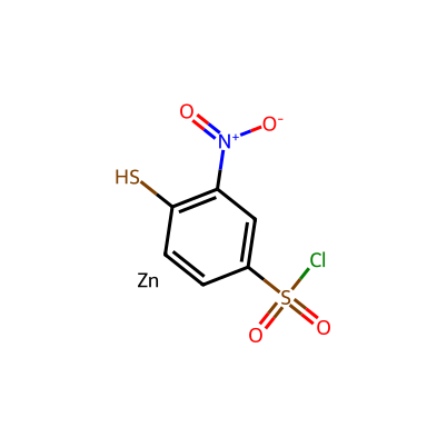 O=[N+]([O-])c1cc(S(=O)(=O)Cl)ccc1S.[Zn]